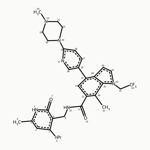 CCCc1cc(C)[nH]c(=O)c1CNC(=O)c1cc(-c2ccc(N3CCN(C)CC3)nc2)c2ccn(CC(F)(F)F)c2c1C